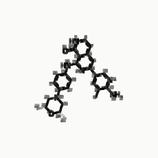 Cc1cc(-c2cc3cc[nH]c(=O)c3c(Nc3ccc(N4C[C@@H](C)O[C@@H](C)C4)cc3)n2)cnc1N